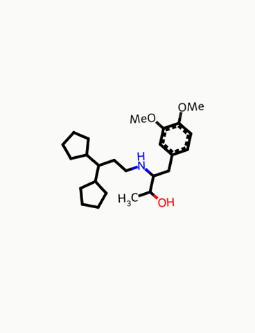 COc1ccc(CC(NCCC(C2CCCC2)C2CCCC2)C(C)O)cc1OC